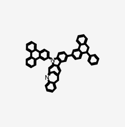 C1=C2C=c3c(n(-c4ccc5c6ccccc6c6ccccc6c5c4)c4ccc(-c5ccc6c(c5)-c5ccccc5CC6c5ccccc5)cc34)=CC1=Nc1ccccc1C2